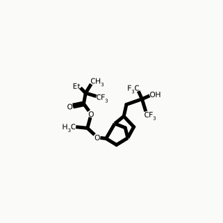 CCC(C)(C(=O)OC(C)OC1CC2CC(CC(O)(C(F)(F)F)C(F)(F)F)C1C2)C(F)(F)F